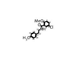 COc1ccc(Cl)cc1C(=O)NCCc1ccc(C)cc1